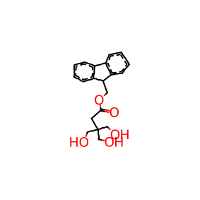 O=C(CC(CO)(CO)CO)OCC1c2ccccc2-c2ccccc21